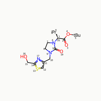 CC(C)[C@@H](C(=O)OC(C)(C)C)N1CCN(Cc2csc(CO)n2)C1=O